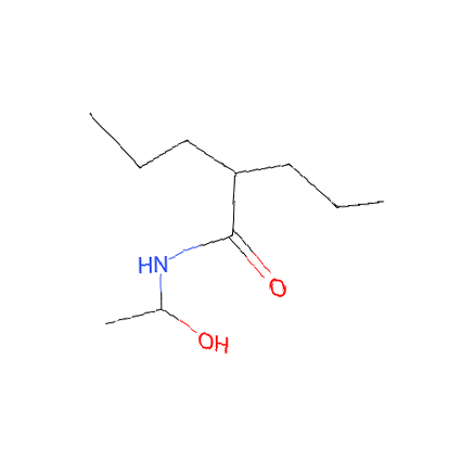 CCCC(CCC)C(=O)NC(C)O